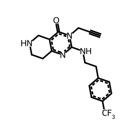 C#CCn1c(NCCc2ccc(C(F)(F)F)cc2)nc2c(c1=O)CNCC2